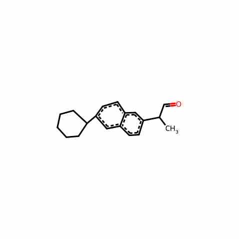 CC(C=O)c1ccc2cc(C3CCCCC3)ccc2c1